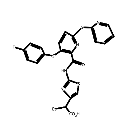 CCC(C(=O)O)c1csc(NC(=O)c2nc(Sc3ccccn3)ccc2Sc2ccc(F)cc2)n1